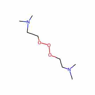 CN(C)CCOOOCCN(C)C